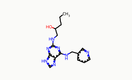 CCCC(O)CNc1nc(NCc2cccnc2)c2nc[nH]c2n1